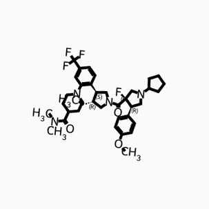 CC[C@H]1CN(C(=O)[C@]2(F)CN(C3CCCC3)C[C@H]2c2ccc(OC)cc2)C[C@@H]1c1ccc(C(F)(F)F)cc1N1CCC(C(=O)N(C)C)CC1